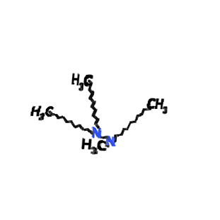 CCCCCCCCCCCCN(CC)CCN(CCCCCCCCCCCC)CCCCCCCCCCCC